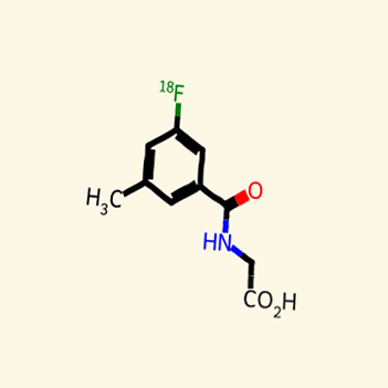 Cc1cc([18F])cc(C(=O)NCC(=O)O)c1